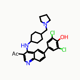 CC(=O)c1cnc2ccc(-c3cc(Cl)c(O)c(Cl)c3)cc2c1NC1CCC(CN2CCCC2)CC1